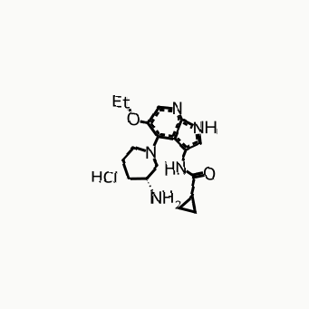 CCOc1cnc2[nH]cc(NC(=O)C3CC3)c2c1N1CCC[C@@H](N)C1.Cl